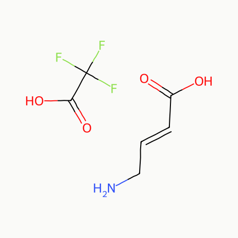 NCC=CC(=O)O.O=C(O)C(F)(F)F